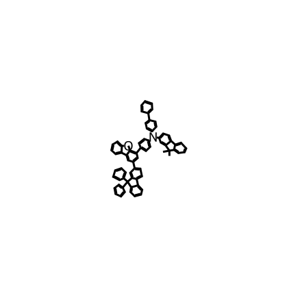 CC1(C)c2ccccc2-c2ccc(N(c3ccc(-c4ccccc4)cc3)c3ccc(-c4cc(-c5ccc6c(c5)C(c5ccccc5)(c5ccccc5)c5ccccc5-6)cc5c4oc4ccccc45)cc3)cc21